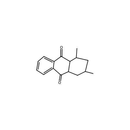 CC1CC(C)C2C(=O)c3ccccc3C(=O)C2C1